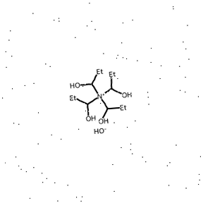 CCC(O)[N+](C(O)CC)(C(O)CC)C(O)CC.[OH-]